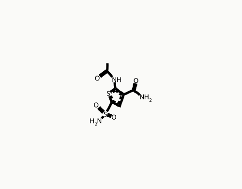 CC(=O)Nc1sc(S(N)(=O)=O)cc1C(N)=O